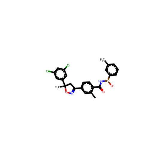 Cc1cc(C2=NOC(c3cc(Cl)cc(Cl)c3)(C(F)(F)F)C2)ccc1C(=O)N[S+]([O-])c1cccc(C(F)(F)F)c1